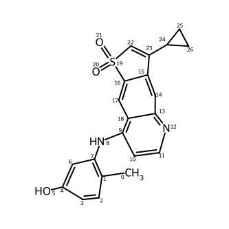 Cc1ccc(O)cc1Nc1ccnc2cc3c(cc12)S(=O)(=O)C=C3C1CC1